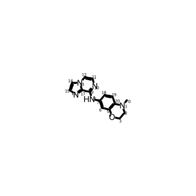 CN1CCOc2cc(Nc3n[c]cn4ccnc34)ccc21